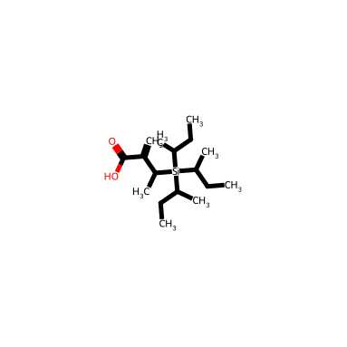 C=C(C(=O)O)C(C)[Si](C(C)CC)(C(C)CC)C(C)CC